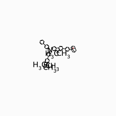 CC1(C)c2cc(-c3ccc(C45CC6CC(CC(C6)C4)C5)cc3)ccc2-c2ccc(N(c3ccc(-c4ccccc4)cc3)c3ccc(-c4ccc([Si](C)(C)C)cc4)cc3)cc21